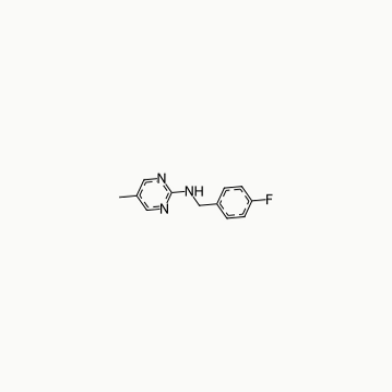 Cc1cnc(NCc2ccc(F)cc2)nc1